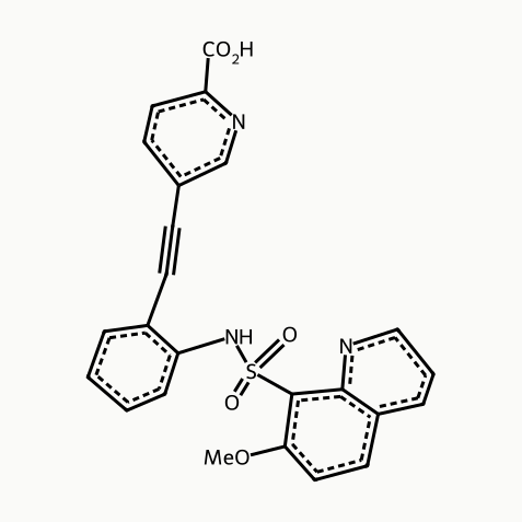 COc1ccc2cccnc2c1S(=O)(=O)Nc1ccccc1C#Cc1ccc(C(=O)O)nc1